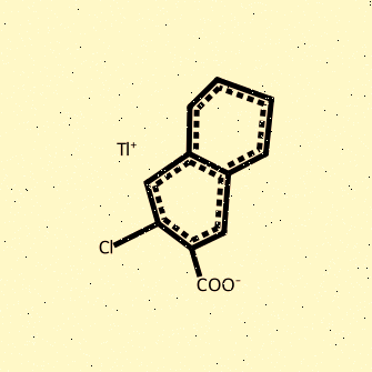 O=C([O-])c1cc2ccccc2cc1Cl.[Tl+]